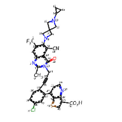 Cc1nc2cc(C(F)(F)F)c(N3CC4(C3)CN(C3CC3)C4)c(C#N)c2c(=O)n1CC#Cc1ccc(Cl)cc1-c1ccnc2c(C(=O)O)csc12